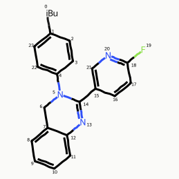 CCC(C)c1ccc(N2Cc3ccccc3N=C2c2ccc(F)nc2)cc1